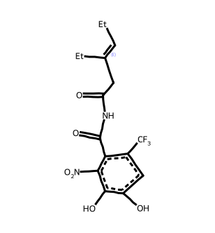 CC/C=C(\CC)CC(=O)NC(=O)c1c(C(F)(F)F)cc(O)c(O)c1[N+](=O)[O-]